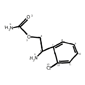 NC(=O)OCC(N)c1ccccc1Cl